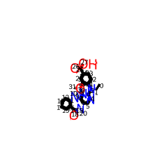 CCN(c1ncc2c(n1)N(C)c1ccccc1C(=O)N2C)c1ccc(C(=O)O)cc1OC